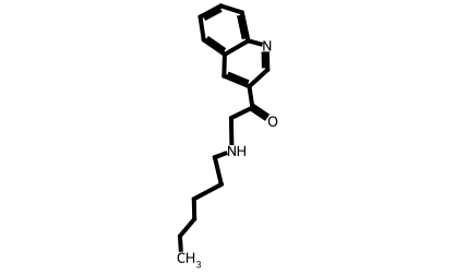 CCCCCCNCC(=O)c1cnc2ccccc2c1